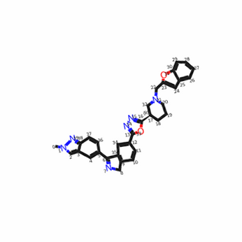 Cn1cc2cc(C3=NCc4ccc(-c5nnc([C@@H]6CCCN(Cc7cc8ccccc8o7)C6)o5)cc43)ccc2n1